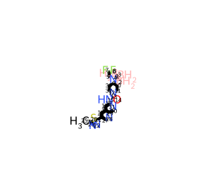 BC(B)(B)N(CC(F)F)C1CCN(C(=O)Nc2cc3cc(-c4nnc(C)s4)cnc3cn2)CC1